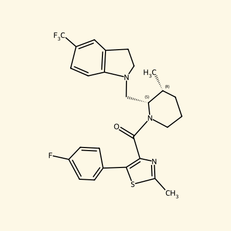 Cc1nc(C(=O)N2CCC[C@@H](C)[C@H]2CN2CCc3cc(C(F)(F)F)ccc32)c(-c2ccc(F)cc2)s1